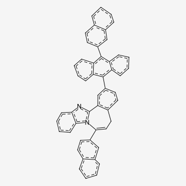 C1=C(c2ccc3ccccc3c2)n2c(nc3ccccc32)-c2cc(-c3c4ccccc4c(-c4ccc5ccccc5c4)c4ccccc34)ccc2C1